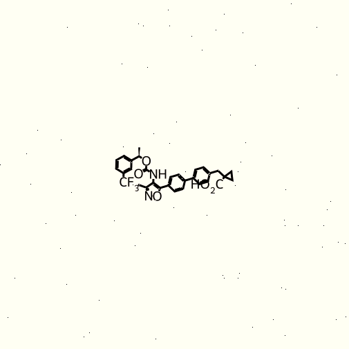 Cc1noc(-c2ccc(-c3ccc(CC4(C(=O)O)CC4)cc3)cc2)c1NC(=O)O[C@H](C)c1cccc(C(F)(F)F)c1